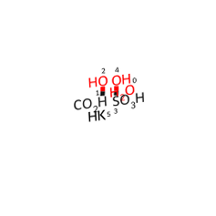 O.O=C(O)O.O=S(=O)(O)O.[KH]